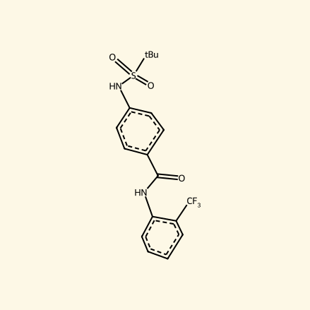 CC(C)(C)S(=O)(=O)Nc1ccc(C(=O)Nc2ccccc2C(F)(F)F)cc1